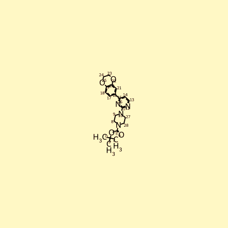 CC(C)(C)OC(=O)N1CCN(c2nccc(-c3ccc4c(c3)OCCO4)n2)CC1